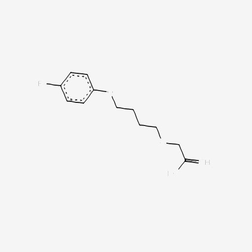 C=C(C)COCCCCOc1ccc(CC)cc1